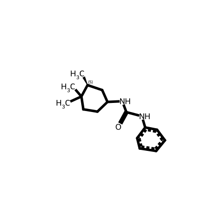 C[C@H]1CC(NC(=O)Nc2ccccc2)CCC1(C)C